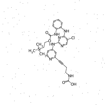 C[Si](C)(C)CCOC(=O)Nc1ccccc1Nc1nc(Nc2ccnc(C#CCCNC(=O)O)c2)ncc1Cl